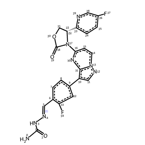 NC(=O)N/N=C/c1ccc(-c2cnn3ccc(N4C(=O)OC[C@@H]4c4ccc(F)cn4)nc23)cc1F